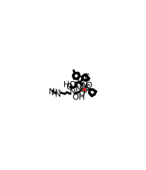 Cc1ccc([C@]23C[C@@]4(O)C(=O)N(CCCCN=[N+]=[N-])[C@H](O)C(=O)N4[C@H]2N(S(=O)(=O)c2ccccc2)c2ccccc23)cc1